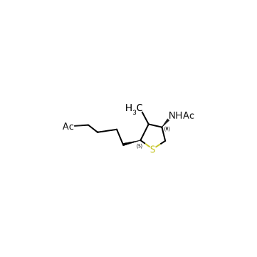 CC(=O)CCCC[C@@H]1SC[C@H](NC(C)=O)C1C